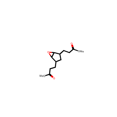 COC(=O)CCC1CC(CCC(=O)OC)C2OC12